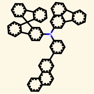 c1cc(-c2ccc3c(ccc4ccccc43)c2)cc(N(c2ccc3c(c2)C2(c4ccccc4-c4ccccc42)c2ccccc2-3)c2cc3c4c(cccc4c2)-c2ccccc2-3)c1